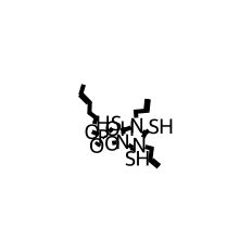 C=CCN1C(S)N(CC=C)C(S)N(OP(=O)(O)OCCC=CC)C1S